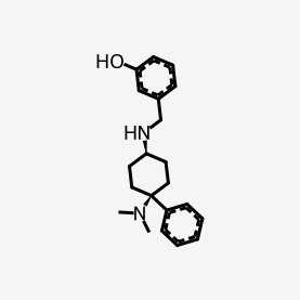 CN(C)[C@]1(c2ccccc2)CC[C@H](NCc2cccc(O)c2)CC1